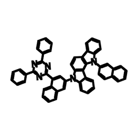 c1ccc(-c2nc(-c3ccccc3)nc(-c3cc(-n4c5ccccc5c5c4ccc4c6ccccc6n(-c6ccc7ccccc7c6)c45)cc4ccccc34)n2)cc1